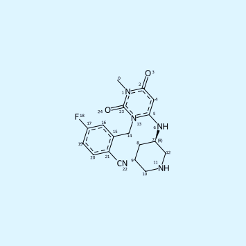 Cn1c(=O)cc(N[C@@H]2CCCNC2)n(Cc2cc(F)ccc2C#N)c1=O